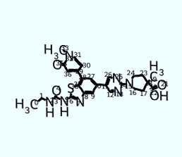 CCNC(=O)Nc1nc2cc(-c3cnc(N4CCC(C)(C(=O)O)CC4)nc3)cc(-c3ccn(C)c(=O)c3)c2s1